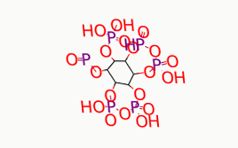 O=POC1C(OP(=O)(O)O)C2O[PH](=O)OP(=O)(O)OC2C2OP(=O)(O)OP(=O)(O)OC12